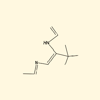 C=CN/C(=C\N=C\C)C(C)(C)C